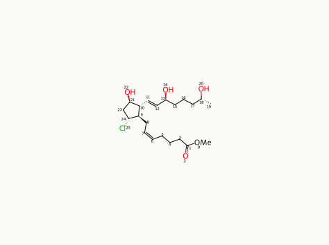 COC(=O)CCC/C=C\C[C@@H]1[C@@H](/C=C/[C@@H](O)CCC[C@@H](C)O)[C@H](O)C[C@H]1Cl